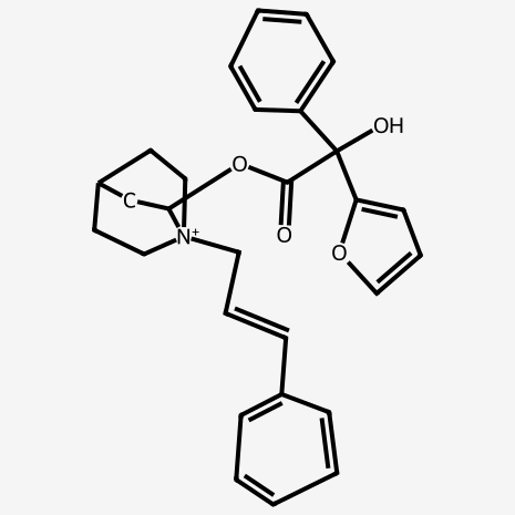 O=C(OC1CC2CC[N+]1(CC=Cc1ccccc1)CC2)C(O)(c1ccccc1)c1ccco1